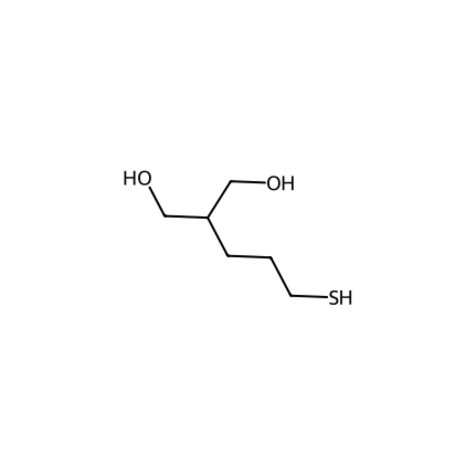 OCC(CO)CCCS